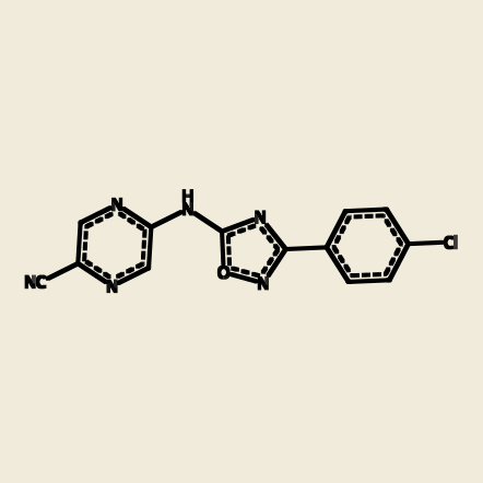 N#Cc1cnc(Nc2nc(-c3ccc(Cl)cc3)no2)cn1